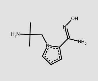 CC(C)(N)Cn1cccc1C(N)=NO